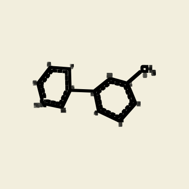 Cc1c[c]cc(-c2cccnc2)c1